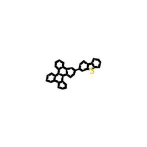 c1ccc2c(c1)sc1cc(-c3ccc4c(c3)c3ccccc3c3c5ccccc5c5ccccc5c43)ccc12